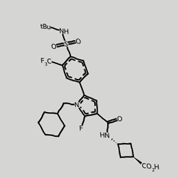 CC(C)(C)NS(=O)(=O)c1ccc(-c2cc(C(=O)N[C@H]3C[C@H](C(=O)O)C3)c(F)n2CC2CCCCC2)cc1C(F)(F)F